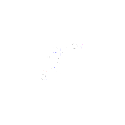 CC(C)(C)CC(=O)[C@H](Cc1ccc(-n2c(=O)n(CC(=O)Oc3ccc([N+](=O)[O-])cc3)c3cccnc32)cc1)NC(=O)[C@H]1C(S(=O)(=O)c2cccnc2)CSC1(C)C